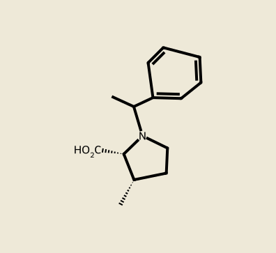 CC(c1ccccc1)N1CC[C@H](C)[C@@H]1C(=O)O